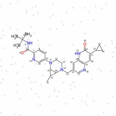 BC(B)(B)NC(=O)c1ccc(N2CCN(Cc3cnc4cc(C5CC5)c(=O)[nH]c4c3)C3C(C)C32)cn1